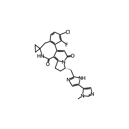 Cn1cncc1-c1cnc(C[C@@H]2CCc3c4c(cc(=O)n32)-c2c(ccc(Cl)c2F)CC2(CC2)NC4=O)[nH]1